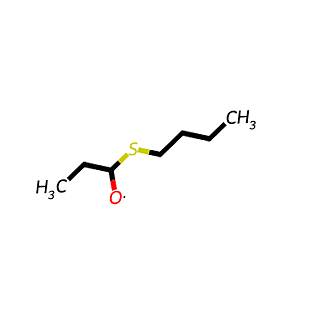 CCCCSC([O])CC